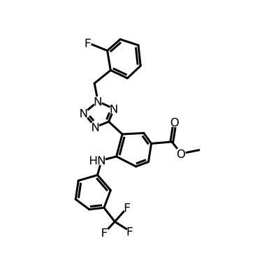 COC(=O)c1ccc(Nc2cccc(C(F)(F)F)c2)c(-c2nnn(Cc3ccccc3F)n2)c1